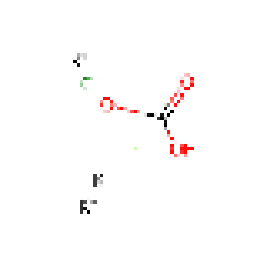 O=C([O-])O.[Cl-].[F-].[K+].[K+].[K+]